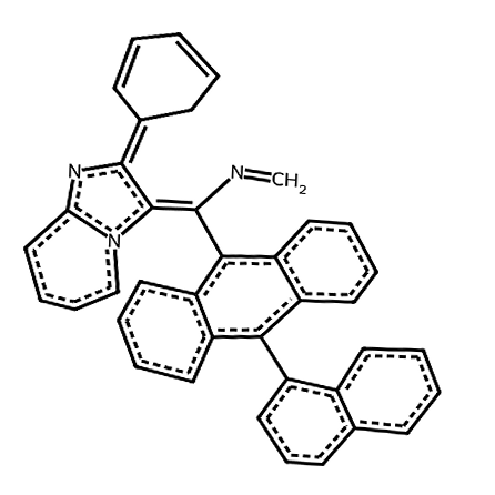 C=N/C(c1c2ccccc2c(-c2cccc3ccccc23)c2ccccc12)=c1\c(=C2\C=CC=CC2)nc2ccccn12